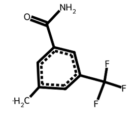 [CH2]c1cc(C(N)=O)cc(C(F)(F)F)c1